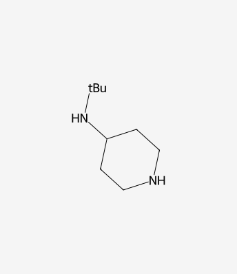 CC(C)(C)NC1CCNCC1